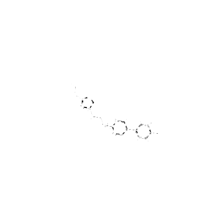 O=C(O)CSc1nc(CCNc2ncc(-c3ccc(C(F)(F)F)cc3)cn2)cs1